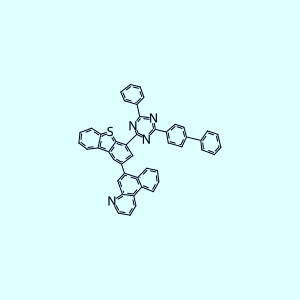 c1ccc(-c2ccc(-c3nc(-c4ccccc4)nc(-c4cc(-c5cc6ncccc6c6ccccc56)cc5c4sc4ccccc45)n3)cc2)cc1